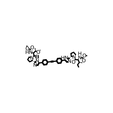 CC[C@H](C)[C@H](NC(=O)OC)C(=O)N1CCC[C@H]1c1ncc(-c2ccc(C#Cc3ccc(-c4cnc([C@@H]5CCCN5C(=O)[C@@H](NC(=O)OC)[C@@H](C)OC)[nH]4)cc3)cc2)[nH]1